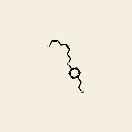 CC/C=C\C/C=C\CCOc1ccc(CCC(C)=O)cc1